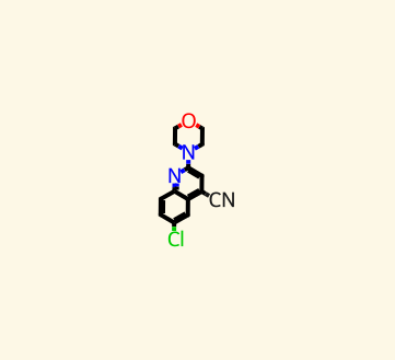 N#Cc1cc(N2CCOCC2)nc2ccc(Cl)cc12